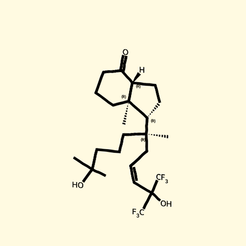 CC(C)(O)CCC[C@](C)(CC=CC(O)(C(F)(F)F)C(F)(F)F)[C@H]1CC[C@H]2C(=O)CCC[C@]12C